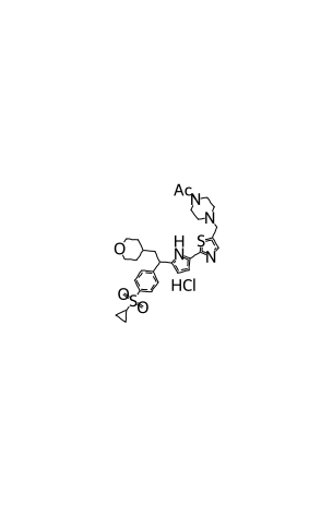 CC(=O)N1CCN(Cc2cnc(-c3ccc(C(CC4CCOCC4)c4ccc(S(=O)(=O)C5CC5)cc4)[nH]3)s2)CC1.Cl